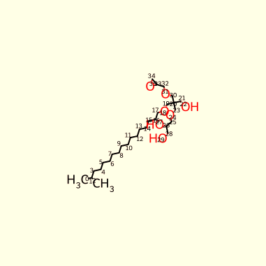 CC(C)CCCCCCCCCCCCCCCOCC(CO)(COCC(O)CO)COCC1CO1